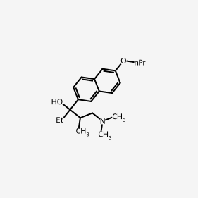 CCCOc1ccc2cc(C(O)(CC)C(C)CN(C)C)ccc2c1